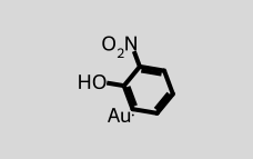 O=[N+]([O-])c1ccccc1O.[Au]